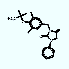 Cc1cc(CN2C(=O)CN(c3ccccc3)C2=O)cc(C)c1OC(C)(C)C(=O)O